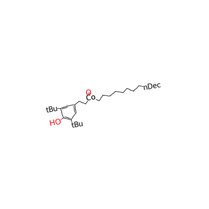 CCCCCCCCCCCCCCCCC[CH2][Co](=[O])[CH2]Cc1cc(C(C)(C)C)c(O)c(C(C)(C)C)c1